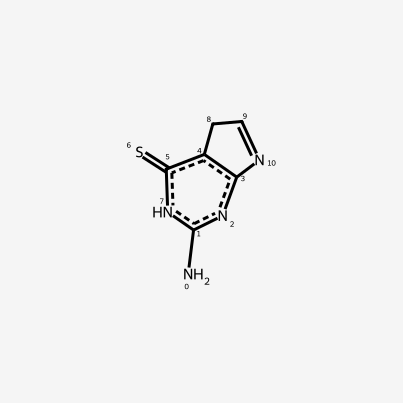 Nc1nc2c(c(=S)[nH]1)CC=N2